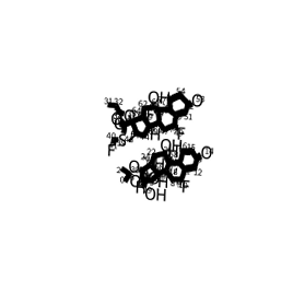 CC1(C)O[C@@H]2C[C@H]3[C@@H]4C[C@H](F)C5=CC(=O)C=C[C@]5(C)[C@H]4[C@@H](O)C[C@]3(C)[C@]2(C(=O)CO)O1.CCC(=O)O[C@]1(C(=O)SCF)[C@H](C)C[C@H]2C3C[C@H](F)C4=CC(=O)C=C[C@]4(C)[C@@]3(F)[C@@H](O)C[C@@]21C